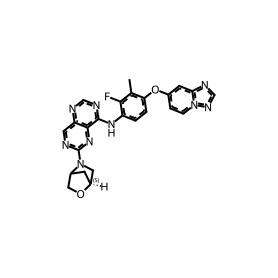 Cc1c(Oc2ccn3ncnc3c2)ccc(Nc2ncnc3cnc(N4C[C@@H]5CC4CO5)nc23)c1F